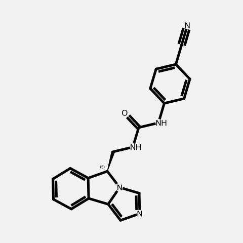 N#Cc1ccc(NC(=O)NC[C@@H]2c3ccccc3-c3cncn32)cc1